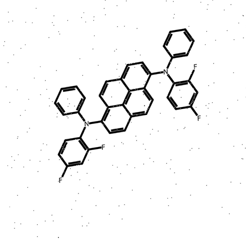 Fc1ccc(N(c2ccccc2)c2ccc3ccc4c(N(c5ccccc5)c5ccc(F)cc5F)ccc5ccc2c3c54)c(F)c1